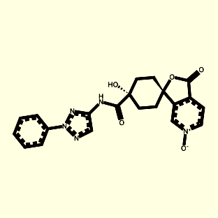 O=C1O[C@]2(CC[C@](O)(C(=O)Nc3cnn(-c4ccccc4)n3)CC2)c2c[n+]([O-])ccc21